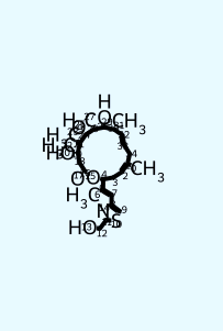 C/C1=C/CC(/C(C)=C/c2csc(CO)n2)OC(=O)C[C@H](O)C(C)(C)C(=O)[C@H](C)[C@@H](O)[C@@H](C)/C=C/C1